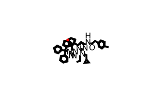 CCCN(CC1CC1)c1nc(NC(=O)Cc2ccc(C)cc2)cc(-c2ccccc2-c2nnnn2C(c2ccccc2)(c2ccccc2)c2ccccc2)n1